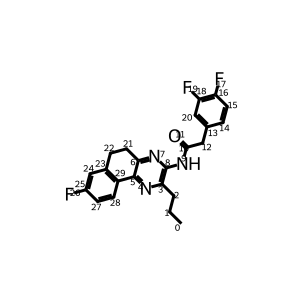 CCCc1nc2c(nc1NC(=O)Cc1ccc(F)c(F)c1)CCc1cc(F)ccc1-2